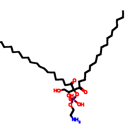 CCCCCCCCCCCCCCCCCC(=O)C(OP(=O)(O)OCCN)(C(=O)CCCCCCCCCCCCCCCCC)[C@@H](O)CO